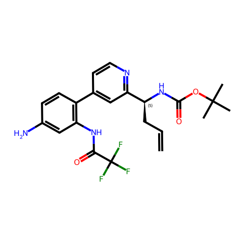 C=CC[C@H](NC(=O)OC(C)(C)C)c1cc(-c2ccc(N)cc2NC(=O)C(F)(F)F)ccn1